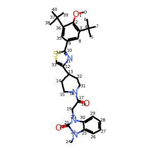 COc1c(C(C)(C)C)cc(-c2nc(C3CCN(C(=O)Cn4c(=O)n(C)c5ccccc54)CC3)cs2)cc1C(C)(C)C